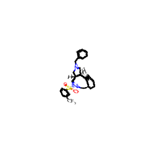 O=S(=O)(c1cccc(C(F)(F)F)c1)N1Cc2ccccc2[C@@H]2CN(Cc3ccccc3)C[C@H]2C1